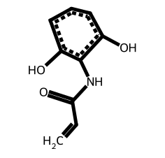 C=CC(=O)Nc1c(O)cccc1O